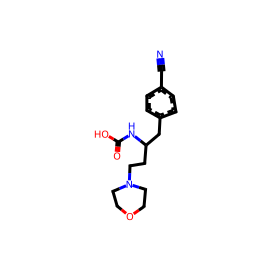 N#Cc1ccc(CC(CCN2CCOCC2)NC(=O)O)cc1